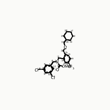 COC(=O)N(Cc1cc(Cl)cc(Cl)c1)Cc1cc(C(F)(F)F)ccc1COCC1CCCCC1